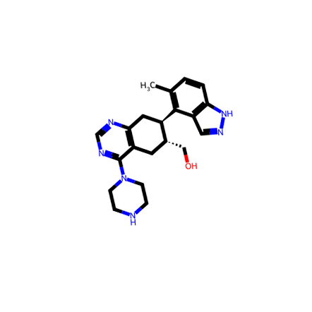 Cc1ccc2[nH]ncc2c1[C@@H]1Cc2ncnc(N3CCNCC3)c2C[C@H]1CO